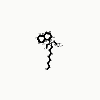 CCCCCCCC[N+](CC)(CC)c1cccc2ccccc12.[Cl-]